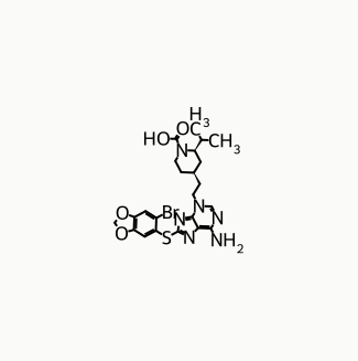 CC(C)[C@H]1C[C@@H](CCn2cnc(N)c3nc(Sc4cc5c(cc4Br)OCO5)nc2-3)CCN1C(=O)O